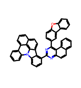 c1ccc2c(c1)ccc1nc(-c3cccc4c3c3ccc5cccc6c7ccccc7n4c3c56)nc(-c3ccc4oc5ccccc5c4c3)c12